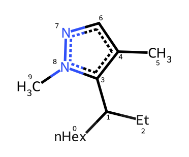 CCCCCCC(CC)c1c(C)cnn1C